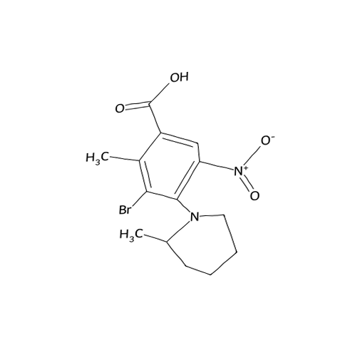 Cc1c(C(=O)O)cc([N+](=O)[O-])c(N2CCCCC2C)c1Br